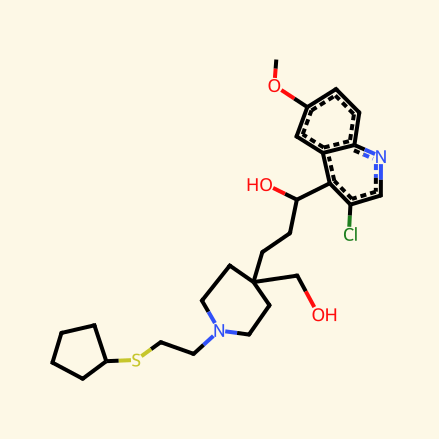 COc1ccc2ncc(Cl)c(C(O)CCC3(CO)CCN(CCSC4CCCC4)CC3)c2c1